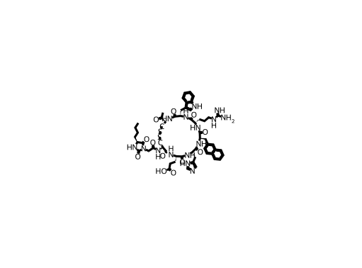 CCCC[C@@H]1NC(=O)N(CC(=O)N[C@H]2CSSC[C@@H](C(C)=O)NC(=O)[C@H](Cc3c[nH]c4ccccc34)NC(=O)[C@H](CCCNC(=N)N)NC(=O)[C@@H](Cc3ccc4ccccc4c3)NC(=O)[C@H](Cc3cnc[nH]3)NC(=O)[C@H](CCC(=O)O)NC2=O)C1=O